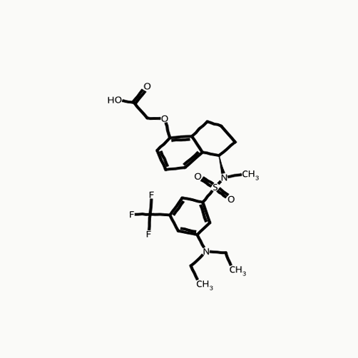 CCN(CC)c1cc(C(F)(F)F)cc(S(=O)(=O)N(C)[C@@H]2CCCc3c(OCC(=O)O)cccc32)c1